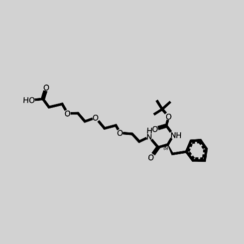 CC(C)(C)OC(=O)N[C@@H](Cc1ccccc1)C(=O)NCCOCCOCCOCCC(=O)O